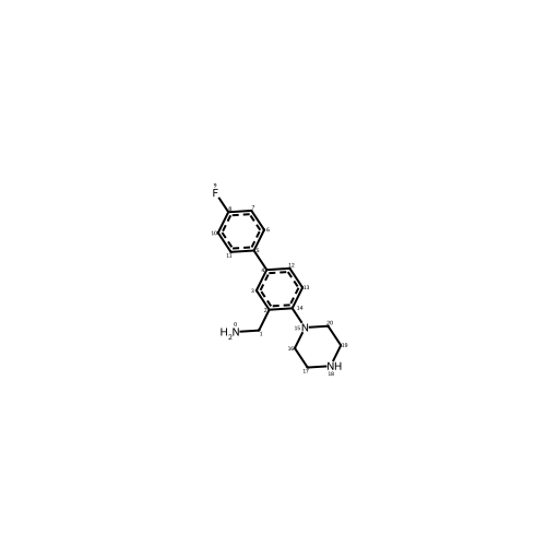 NCc1cc(-c2ccc(F)cc2)ccc1N1CCNCC1